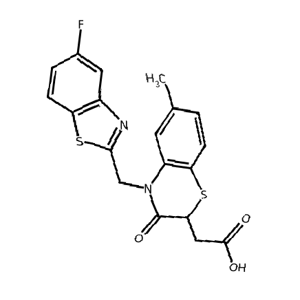 Cc1ccc2c(c1)N(Cc1nc3cc(F)ccc3s1)C(=O)C(CC(=O)O)S2